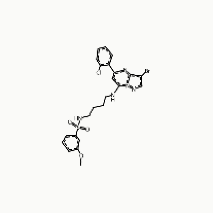 COc1cccc(S(=O)(=O)NCCCCNc2cc(-c3ccccc3Cl)nc3c(Br)cnn23)c1